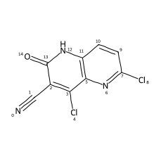 N#Cc1c(Cl)c2nc(Cl)ccc2[nH]c1=O